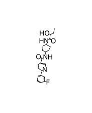 CC[C@@H](O)C(=O)NC1CCC(NC(=O)c2ccc(-c3cccc(F)c3)nc2)CC1